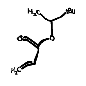 C=CC(=O)OC(C)C(C)(C)C